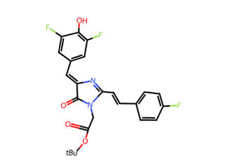 CC(C)(C)OC(=O)CN1C(=O)/C(=C/c2cc(F)c(O)c(F)c2)N=C1/C=C/c1ccc(F)cc1